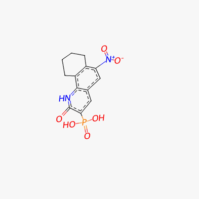 O=c1[nH]c2c3c(c([N+](=O)[O-])cc2cc1P(=O)(O)O)CCCC3